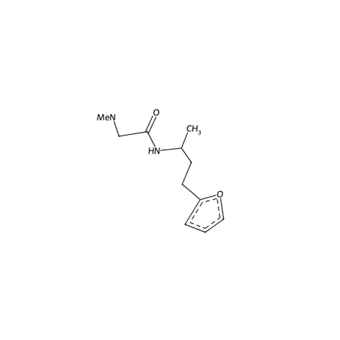 CNCC(=O)NC(C)CCc1ccco1